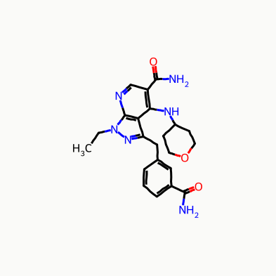 CCn1nc(Cc2cccc(C(N)=O)c2)c2c(NC3CCOCC3)c(C(N)=O)cnc21